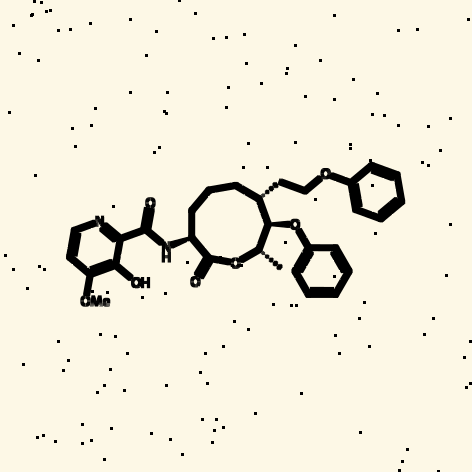 COc1ccnc(C(=O)N[C@H]2CCC[C@H](CCOc3ccccc3)[C@@H](Oc3ccccc3)[C@H](C)OC2=O)c1O